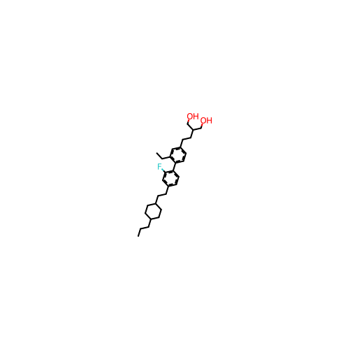 CCCC1CCC(CCc2ccc(-c3ccc(CCC(CO)CO)cc3CC)c(F)c2)CC1